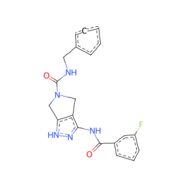 O=C(Nc1n[nH]c2c1CN(C(=O)NCc1ccccc1)C2)c1cccc(F)c1